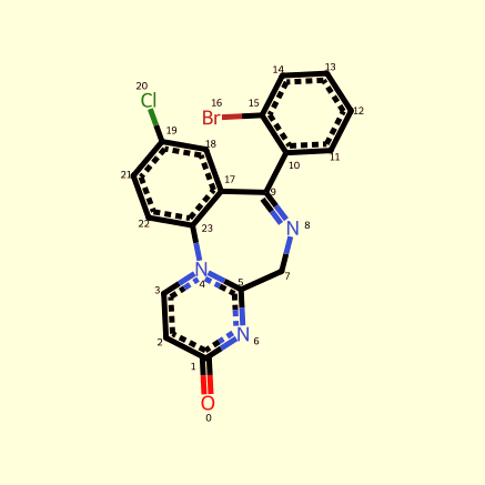 O=c1ccn2c(n1)CN=C(c1ccccc1Br)c1cc(Cl)ccc1-2